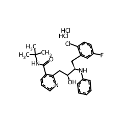 CC(C)(C)NC(=O)c1cccnc1C[C@H](O)[C@@H](Cc1cc(F)ccc1Cl)Nc1ccccc1.Cl.Cl